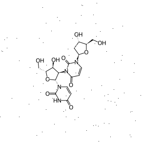 O=c1ccn([C@@H]2O[C@H](CO)[C@@H](O)[C@H]2n2c(=O)ccn([C@H]3C[C@H](O)[C@@H](CO)O3)c2=O)c(=O)[nH]1